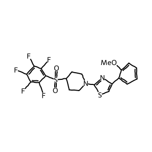 COc1ccccc1-c1csc(N2CCC(S(=O)(=O)c3c(F)c(F)c(F)c(F)c3F)CC2)n1